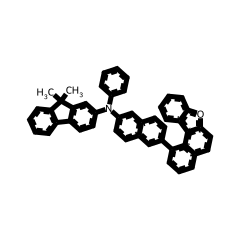 CC1(C)c2ccccc2-c2ccc(N(c3ccccc3)c3ccc4cc(-c5cccc6ccc7oc8ccccc8c7c56)ccc4c3)cc21